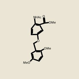 COC(=O)c1cc(OCc2cc(OC)ccc2OC)ccc1NC(C)=O